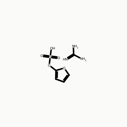 N=C(N)N.O=S(=O)(O)Oc1ccco1